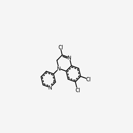 ClC1=Nc2cc(Cl)c(Cl)cc2N(c2cccnc2)C1